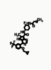 COCC(=O)N[C@@H]1CC[C@@H](NC(=O)c2c(C)[nH]c3c(-c4cc(C(F)(F)F)ccc4OCC4CC4)ncnc23)C[C@H]1F